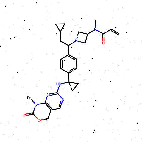 C=CC(=O)N(C)C1CN(C(CC2CC2)c2ccc(C3(Nc4ncc5c(n4)N(CC)C(=O)OC5)CC3)cc2)C1